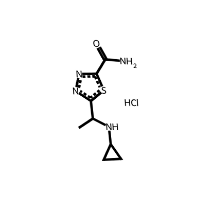 CC(NC1CC1)c1nnc(C(N)=O)s1.Cl